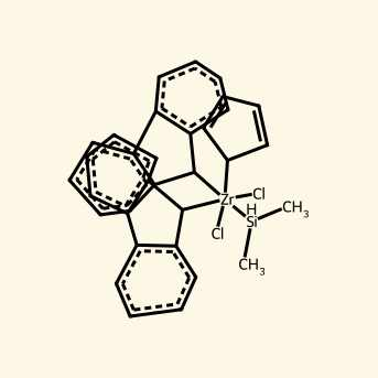 C[SiH](C)[Zr]([Cl])([Cl])([CH]1C=CC=C1)([CH]1c2ccccc2-c2ccccc21)[CH]1c2ccccc2-c2ccccc21